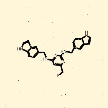 FCc1cc(NCc2ccc3[nH]ccc3c2)nc(NCc2ccc3[nH]ccc3c2)n1